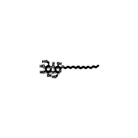 CCCCCCCCCCCCCCO[C@H]1O[C@H](CO)[C@@H](O[C@H]2O[C@H](CO)[C@@H](O)[C@H](O)[C@H]2O)[C@H](O)[C@H]1O